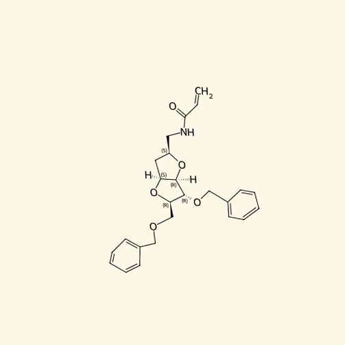 C=CC(=O)NC[C@@H]1C[C@@H]2O[C@H](COCc3ccccc3)[C@@H](OCc3ccccc3)[C@@H]2O1